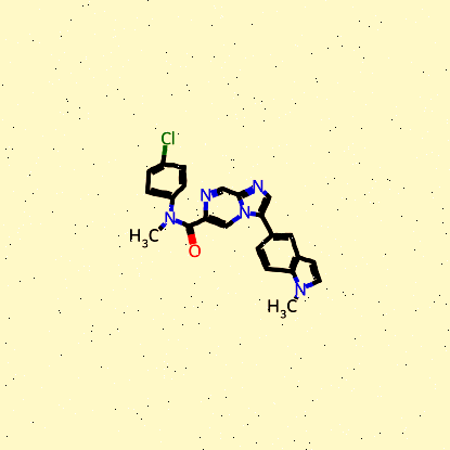 CN(C(=O)c1cn2c(-c3ccc4c(ccn4C)c3)cnc2cn1)c1ccc(Cl)cc1